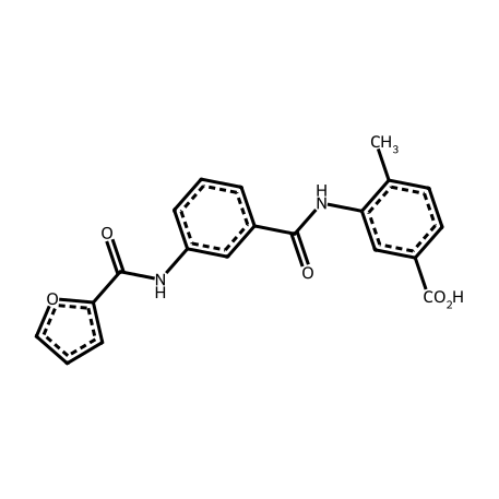 Cc1ccc(C(=O)O)cc1NC(=O)c1cccc(NC(=O)c2ccco2)c1